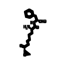 N[C@@H](CCCCCC(=O)[C@@H]1CO1)C(=O)N[C@H](C=O)Cc1ccccc1